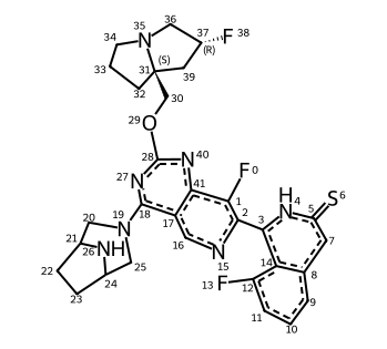 Fc1c(-c2[nH]c(=S)cc3cccc(F)c23)ncc2c(N3CC4CCC(C3)N4)nc(OC[C@@]34CCCN3C[C@H](F)C4)nc12